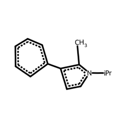 Cc1c(-c2ccccc2)ccn1C(C)C